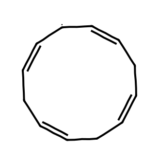 [CH]1C=CCC=CCC=CCC=C1